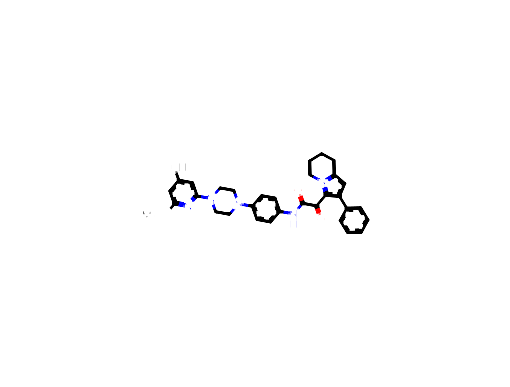 COc1cc(C)cc(N2CCN(c3ccc(NC(=O)C(=O)c4c(-c5ccccc5)cc5n4CCCC5)cc3)CC2)n1